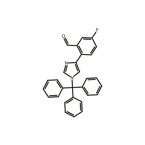 O=Cc1cc(F)ccc1-c1cn(C(c2ccccc2)(c2ccccc2)c2ccccc2)cn1